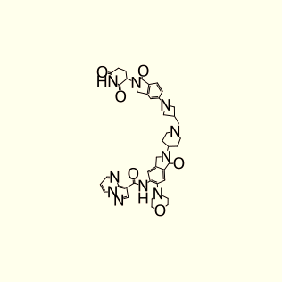 O=C1CCC(N2Cc3cc(N4CC(CN5CCC(N6Cc7cc(NC(=O)c8cnn9cccnc89)c(N8CCOCC8)cc7C6=O)CC5)C4)ccc3C2=O)C(=O)N1